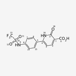 O=C(O)c1ccc(-c2ccc(NS(=O)(=O)C(F)(F)F)cc2)[nH]c1=O